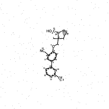 CC(C)CC(C)(COc1ccc(-c2ccnc(C(F)(F)F)n2)cc1C#N)N(C(=O)O)C(C)(C)C